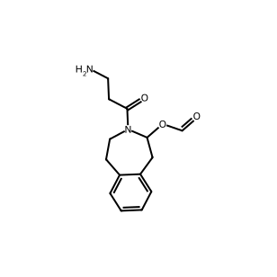 NCCC(=O)N1CCc2ccccc2CC1OC=O